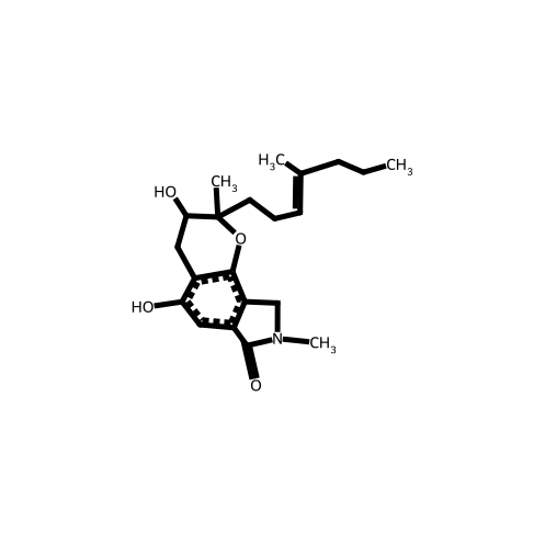 CCC/C(C)=C/CCC1(C)Oc2c(c(O)cc3c2CN(C)C3=O)CC1O